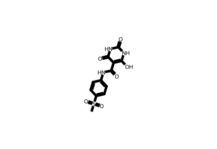 CS(=O)(=O)c1ccc(NC(=O)c2c(O)[nH]c(=O)[nH]c2=O)cc1